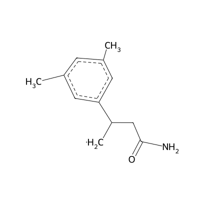 [CH2]C(CC(N)=O)c1cc(C)cc(C)c1